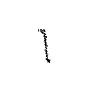 [N-]=[N+]=NCCOCCOCCOCCOCCOCCN1CCNCC1